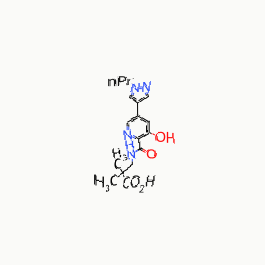 CCCn1cc(-c2cnc(C(=O)NCC(C)(C)C(=O)O)c(O)c2)cn1